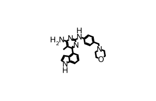 Cc1c(N)nc(Nc2ccc(CN3CCOCC3)cc2)nc1-c1cccc2[nH]ccc12